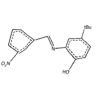 CC(C)(C)c1ccc(O)c(N=Cc2cccc([N+](=O)[O-])c2)c1